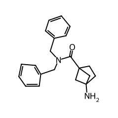 NC12CCC(C(=O)N(Cc3ccccc3)Cc3ccccc3)(C1)C2